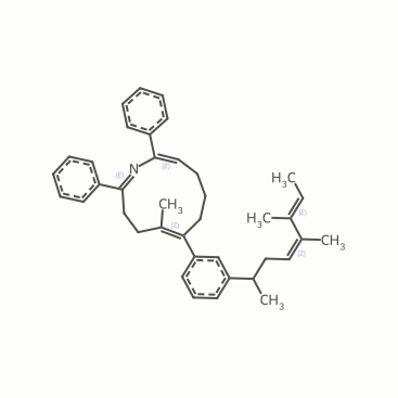 C/C=C(C)/C(C)=C\CC(C)c1cccc(/C2=C(/C)CC/C(c3ccccc3)=N\C(c3ccccc3)=C/CCC2)c1